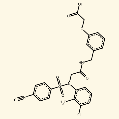 [C-]#[N+]c1ccc(S(=O)(=O)N(CC(=O)NCc2cccc(OCC(=O)O)c2)c2cccc(Cl)c2C)cc1